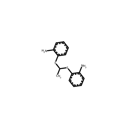 CC(Sc1ccccc1N)Sc1ccccc1N